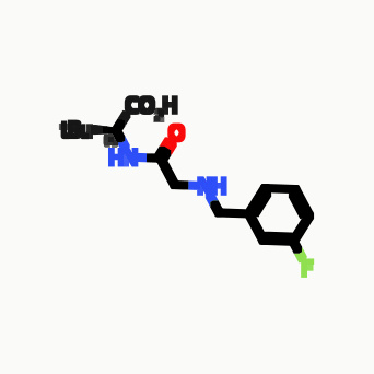 CC(C)(C)[C@H](NC(=O)CNCc1cccc(F)c1)C(=O)O